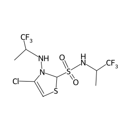 CC(NN1C(Cl)=CSC1S(=O)(=O)NC(C)C(F)(F)F)C(F)(F)F